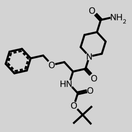 CC(C)(C)OC(=O)NC(COCc1ccccc1)C(=O)N1CCC(C(N)=O)CC1